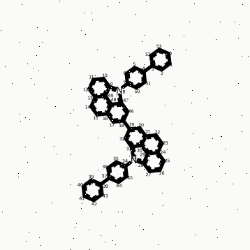 c1ccc(-c2ccc(-n3c4cccc5ccc6cc(-c7cc8ccc9cccc%10c9c8c(c7)n%10-c7ccc(-c8ccccc8)cc7)cc3c6c54)cc2)cc1